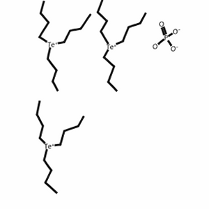 CCCC[Te+](CCCC)CCCC.CCCC[Te+](CCCC)CCCC.CCCC[Te+](CCCC)CCCC.O=P([O-])([O-])[O-]